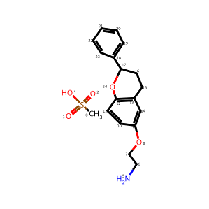 CS(=O)(=O)O.NCCOc1ccc2c(c1)CCC(c1ccccc1)O2